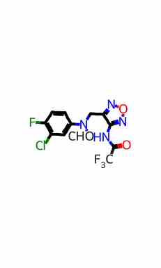 O=CN(Cc1nonc1NC(=O)C(F)(F)F)c1ccc(F)c(Cl)c1